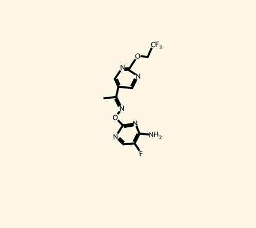 C/C(=N\Oc1ncc(F)c(N)n1)c1cnc(OCC(F)(F)F)nc1